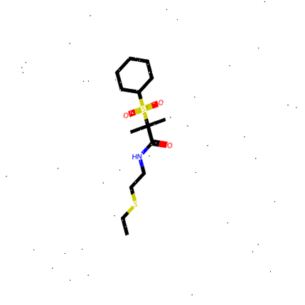 CCSCCNC(=O)C(C)(C)S(=O)(=O)C1CCCCC1